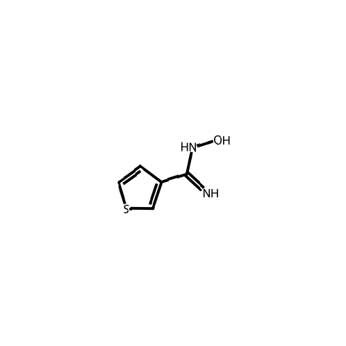 N=C(NO)c1ccsc1